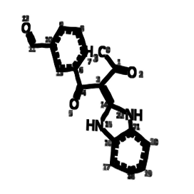 CC(=O)C(C(=O)c1cccc(C=O)c1)=C1Nc2ccccc2N1